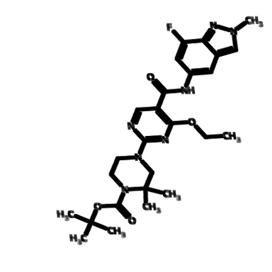 CCOc1nc(N2CCN(C(=O)OC(C)(C)C)C(C)(C)C2)ncc1C(=O)Nc1cc(F)c2nn(C)cc2c1